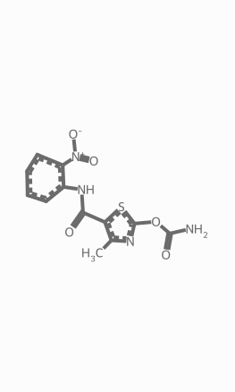 Cc1nc(OC(N)=O)sc1C(=O)Nc1ccccc1[N+](=O)[O-]